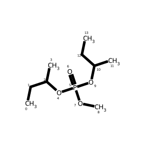 CCC(C)OP(=O)(OC)OC(C)CC